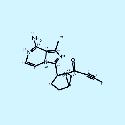 CC#CC(=O)N1C2CCC1(c1nc(I)c3c(N)nccn13)CC2